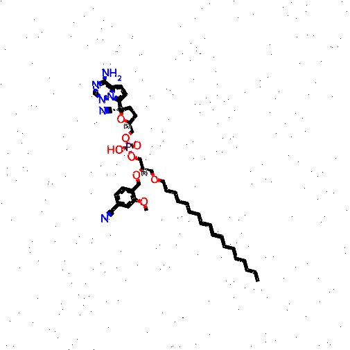 CCCCCCCCCCCCCCCCCCOC[C@H](COP(=O)(O)OC[C@@H]1CC[C@](C#N)(c2ccc3c(N)ncnn23)O1)OCc1ccc(C#N)cc1OC